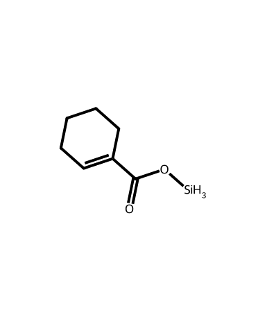 O=C(O[SiH3])C1=CCCCC1